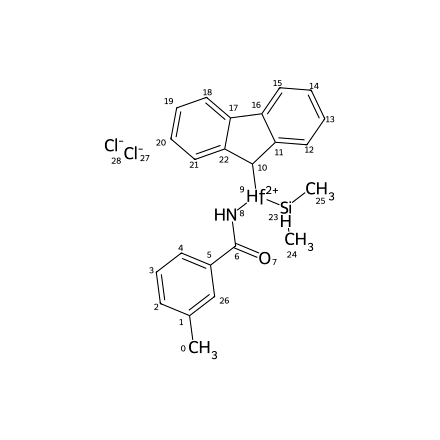 Cc1cccc(C(=O)[NH][Hf+2]([CH]2c3ccccc3-c3ccccc32)[SiH](C)C)c1.[Cl-].[Cl-]